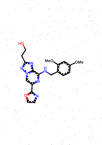 COc1ccc(CNc2nc(-c3ncco3)cn3nc(CCO)nc23)c(OC)c1